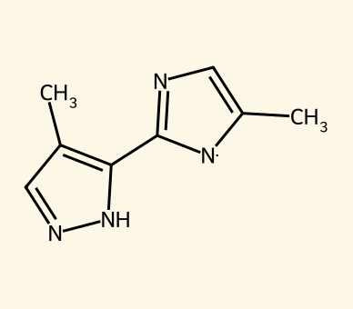 CC1=CN=C(c2[nH]ncc2C)[N]1